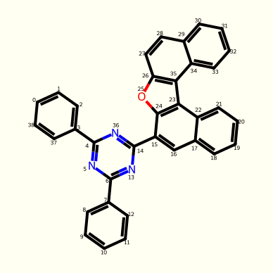 c1ccc(-c2nc(-c3ccccc3)nc(-c3cc4ccccc4c4c3oc3ccc5ccccc5c34)n2)cc1